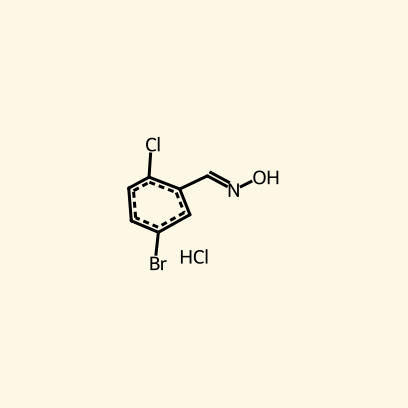 Cl.ON=Cc1cc(Br)ccc1Cl